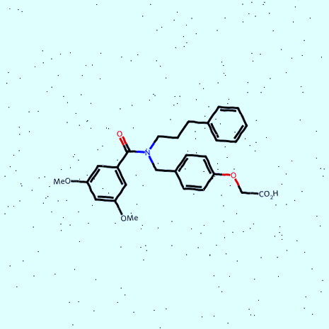 COc1cc(OC)cc(C(=O)N(CCCc2ccccc2)Cc2ccc(OCC(=O)O)cc2)c1